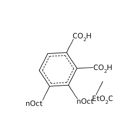 CCCCCCCCc1ccc(C(=O)O)c(C(=O)O)c1CCCCCCCC.CCOC(C)=O